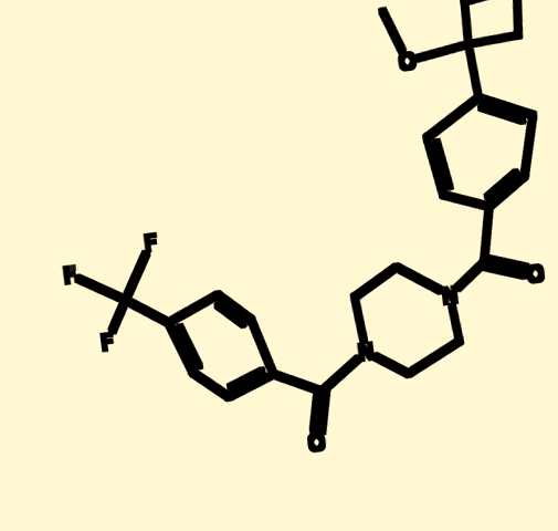 COC1(c2ccc(C(=O)N3CCN(C(=O)c4ccc(C(F)(F)F)cc4)CC3)cc2)COC1